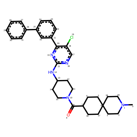 CN1CCC2(CCC(C(=O)N3CCC(Nc4ncc(Cl)c(-c5cccc(-c6ccccc6)c5)n4)CC3)CC2)CC1